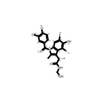 Cc1c([C@H](C)C(=O)NCO)c2c(F)c(O)c(F)cc2n1C(=O)c1ccc(Cl)c(Cl)c1